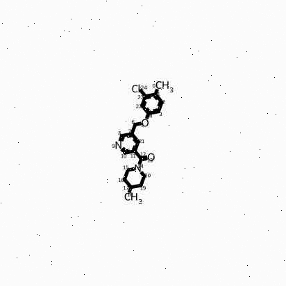 Cc1ccc(OCc2cncc(C(=O)N3CCC(C)CC3)c2)cc1Cl